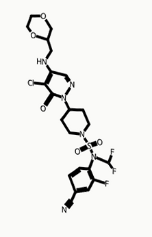 N#Cc1ccc(N(C(F)F)S(=O)(=O)N2CCC(n3ncc(NCC4COCCO4)c(Cl)c3=O)CC2)c(F)c1